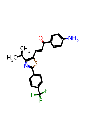 CC(C)c1nc(-c2ccc(C(F)(F)F)cc2)sc1C=CC(=O)c1ccc(N)cc1